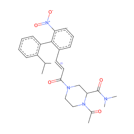 CC(=O)N1CCN(C(=O)/C=C/c2cc[c]c([N+](=O)[O-])c2-c2ccccc2C(C)C)CC1C(=O)N(C)C